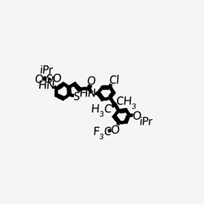 CC(C)Oc1cc(OC(F)(F)F)cc(C(C)(C)c2cc(Cl)cc(NC(=O)c3cc4cc(NS(=O)(=O)C(C)C)ccc4s3)c2)c1